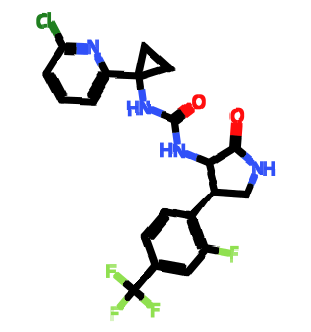 O=C(NC1C(=O)NC[C@H]1c1ccc(C(F)(F)F)cc1F)NC1(c2cccc(Cl)n2)CC1